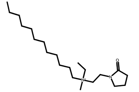 CCCCCCCCCCCC[N+](C)(CC)CCN1CCCC1=O